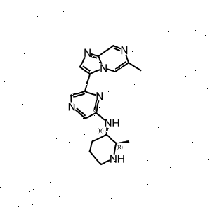 Cc1cn2c(-c3cncc(N[C@@H]4CCCN[C@@H]4C)n3)cnc2cn1